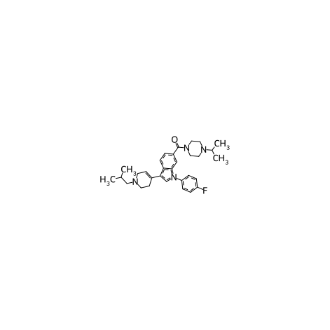 CC(C)CN1CC=C(c2cn(-c3ccc(F)cc3)c3cc(C(=O)N4CCN(C(C)C)CC4)ccc23)CC1